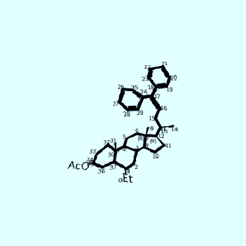 CC[C@H]1CC2C(CC[C@@]3(C)C2CC[C@@H]3[C@H](C)CC=C(c2ccccc2)c2ccccc2)[C@@]2(C)CC[C@@H](OC(C)=O)CC12